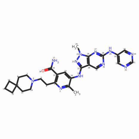 Cc1nc(CCN2CCC3(CCC3)CC2)c(C(N)=O)cc1Nc1nn(C)c2nc(Nc3cncnc3)ncc12